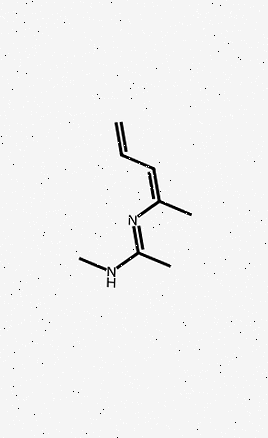 C=C/C=C(C)\N=C(/C)NC